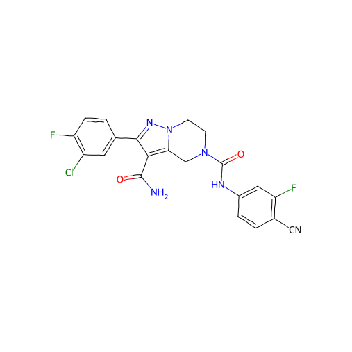 N#Cc1ccc(NC(=O)N2CCn3nc(-c4ccc(F)c(Cl)c4)c(C(N)=O)c3C2)cc1F